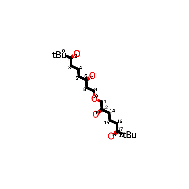 CC(C)(C)C(=O)CCCC(=O)CCOCC(=O)CCCC(=O)C(C)(C)C